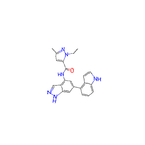 CCn1nc(C)cc1C(=O)Nc1cc(-c2cccc3[nH]ccc23)cc2[nH]ncc12